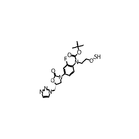 CC(C)(C)OC(=O)N(CCOS)c1ccc(N2C[C@H](Cn3ccnn3)OC2=O)cc1F